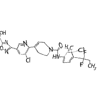 CCC(F)(F)C1=CC=C(NC(=O)N2CC=C(c3ncc(-c4noc(CO)n4)cc3Cl)CC2)CC1(C)Cl